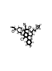 C=CC(=O)N1CCN(c2c(C#N)c(=O)n3c4c(c(-c5ccc(F)cc5F)c(Cl)cc24)CCC3CCN2CCC2)[C@@H](C)C1